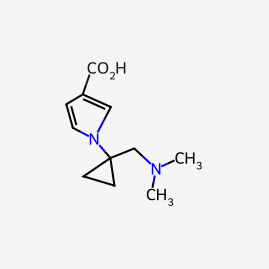 CN(C)CC1(n2ccc(C(=O)O)c2)CC1